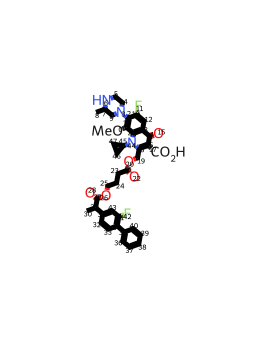 COc1c(N2CCNC(C)C2)c(F)cc2c(=O)c(C(=O)O)c(COC(=O)CCCOC(=O)C(C)c3ccc(-c4ccccc4)c(F)c3)n(C3CC3)c12